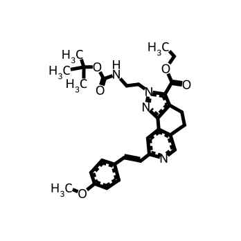 CCOC(=O)c1c2c(nn1CCNC(=O)OC(C)(C)C)-c1cc(C=Cc3ccc(OC)cc3)ncc1CC2